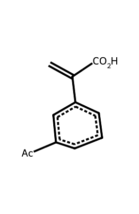 C=C(C(=O)O)c1cccc(C(C)=O)c1